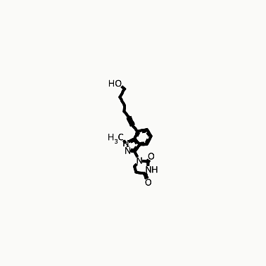 Cn1nc(N2CCC(=O)NC2=O)c2cccc(C#CCCCCO)c21